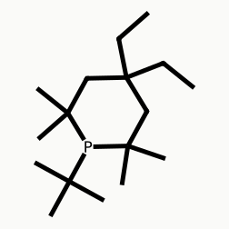 CCC1(CC)CC(C)(C)P(C(C)(C)C)C(C)(C)C1